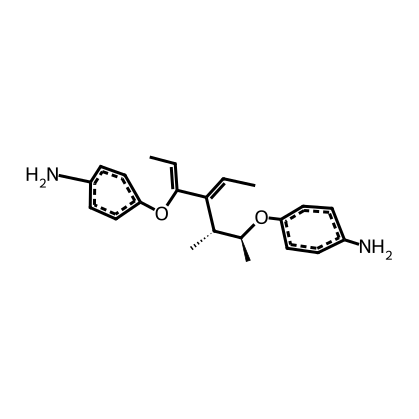 C/C=C(Oc1ccc(N)cc1)/C(=C/C)[C@@H](C)[C@H](C)Oc1ccc(N)cc1